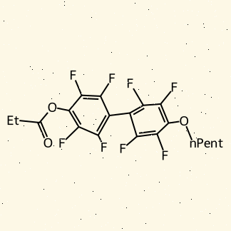 CCCCCOc1c(F)c(F)c(-c2c(F)c(F)c(OC(=O)CC)c(F)c2F)c(F)c1F